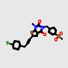 Cn1c(=O)n(Cc2ccc(S(C)(=O)=O)cc2)c(=O)c2cc(C#CCc3ccc(F)cc3)sc21